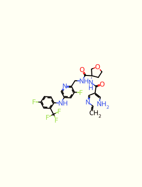 C=C/N=C\C(=C/N)C(=O)N[C@@]1(C(=O)NCc2ncc(Nc3ccc(F)cc3C(F)(F)F)cc2F)CCOC1